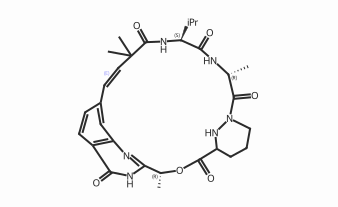 CC(C)[C@@H]1NC(=O)C(C)(C)/C=C/c2ccc3c(=O)[nH]c(nc3c2)[C@@H](C)OC(=O)C2CCCN(N2)C(=O)[C@@H](C)NC1=O